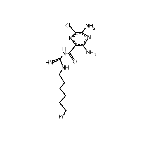 CC(C)CCCCCCNC(=N)NC(=O)c1nc(Cl)c(N)nc1N